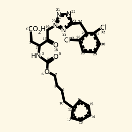 O=C(O)CC(NC(=O)OCCCCc1ccccc1)C(=O)Cn1nnc(Cc2c(Cl)cccc2Cl)n1